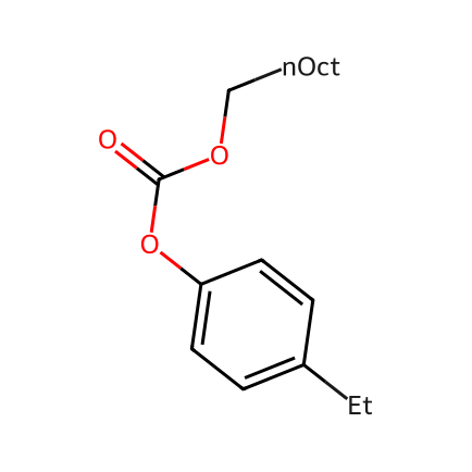 CCCCCCCCCOC(=O)Oc1ccc(CC)cc1